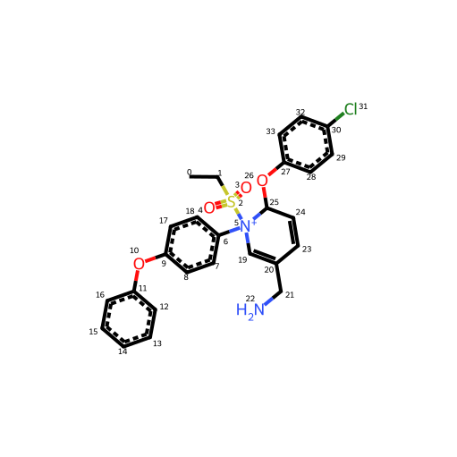 CCS(=O)(=O)[N+]1(c2ccc(Oc3ccccc3)cc2)C=C(CN)C=CC1Oc1ccc(Cl)cc1